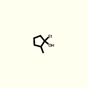 CCC1(O)CCCC1C